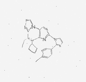 CC[C@@H]1c2nncn2-c2cnc(-n3ccnc3-c3ccc(C)cc3)nc2N1C1CCC1